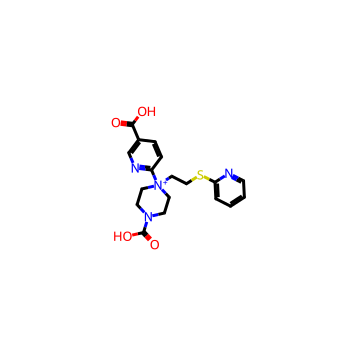 O=C(O)c1ccc([N+]2(CCSc3ccccn3)CCN(C(=O)O)CC2)nc1